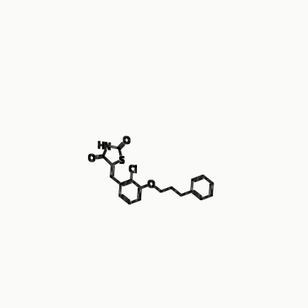 O=C1NC(=O)C(=Cc2cccc(OCCCc3ccccc3)c2Cl)S1